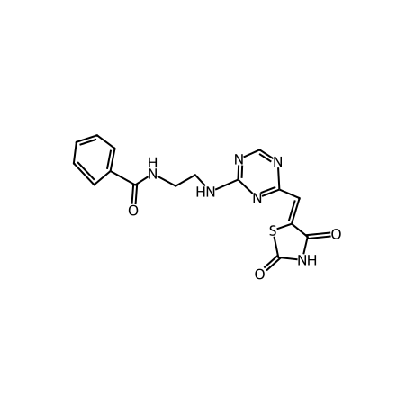 O=C1NC(=O)C(=Cc2ncnc(NCCNC(=O)c3ccccc3)n2)S1